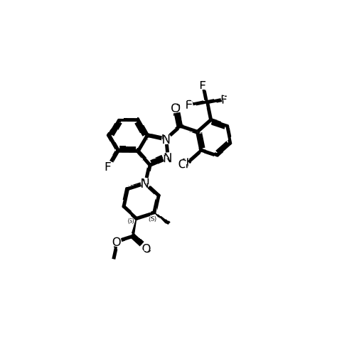 COC(=O)[C@H]1CCN(c2nn(C(=O)c3c(Cl)cccc3C(F)(F)F)c3cccc(F)c23)C[C@H]1C